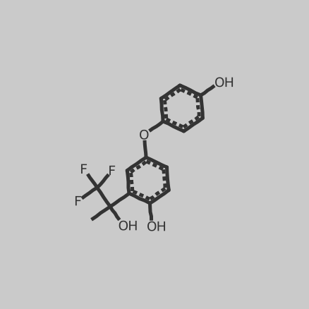 CC(O)(c1cc(Oc2ccc(O)cc2)ccc1O)C(F)(F)F